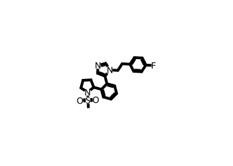 CS(=O)(=O)N1CCCC1c1ccccc1-c1cncn1CCc1ccc(F)cc1